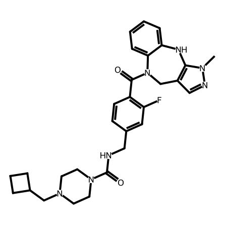 Cn1ncc2c1Nc1ccccc1N(C(=O)c1ccc(CNC(=O)N3CCN(CC4CCC4)CC3)cc1F)C2